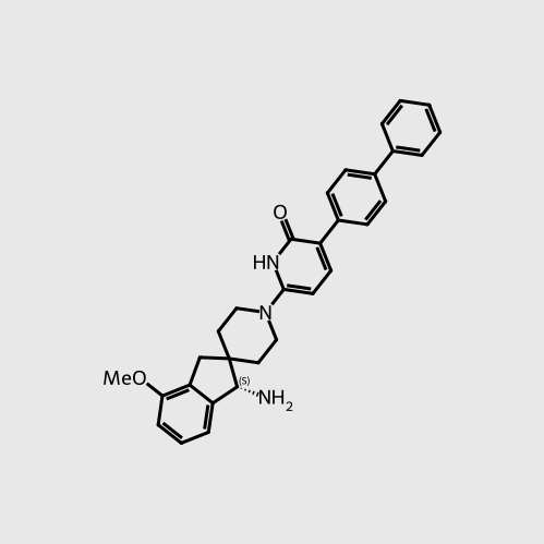 COc1cccc2c1CC1(CCN(c3ccc(-c4ccc(-c5ccccc5)cc4)c(=O)[nH]3)CC1)[C@@H]2N